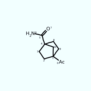 CC(=O)C12CCC(C(N)=O)(CC1)C2